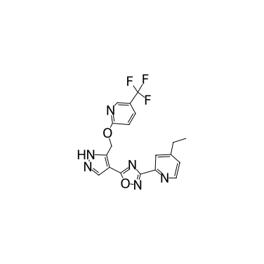 CCc1ccnc(-c2noc(-c3cn[nH]c3COc3ccc(C(F)(F)F)cn3)n2)c1